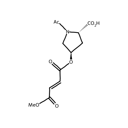 COC(=O)/C=C/C(=O)O[C@@H]1C[C@@H](C(=O)O)N(C(C)=O)C1